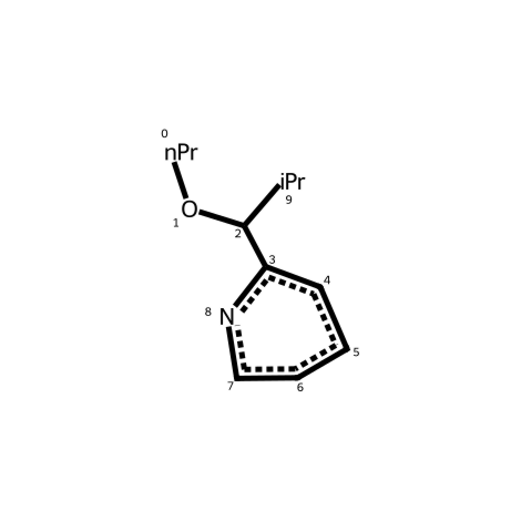 CCCOC(c1ccccn1)C(C)C